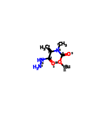 C=C(C(=O)NN)N(C)C(=O)OC(C)(C)C